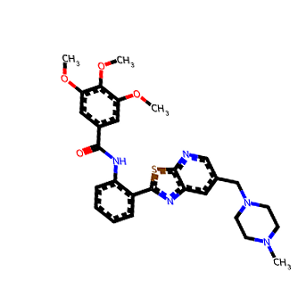 COc1cc(C(=O)Nc2ccccc2-c2nc3cc(CN4CCN(C)CC4)cnc3s2)cc(OC)c1OC